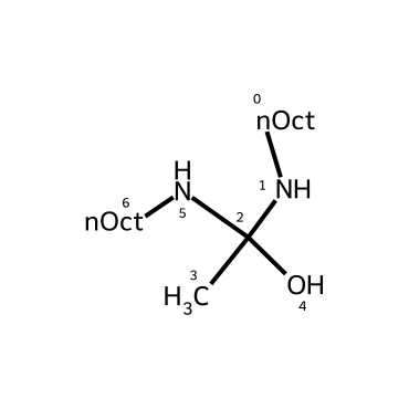 CCCCCCCCNC(C)(O)NCCCCCCCC